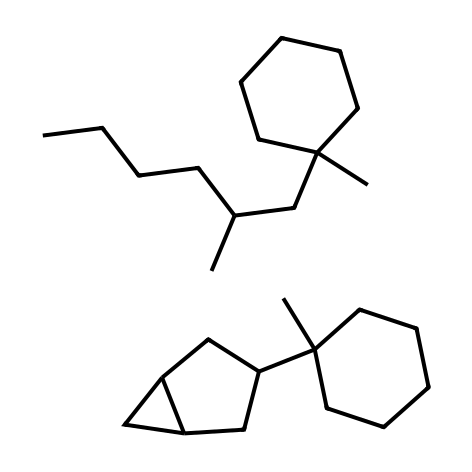 CC1(C2CC3CC3C2)CCCCC1.CCCCC(C)CC1(C)CCCCC1